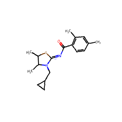 Cc1ccc(C(=O)/N=C2\SC(C)C(C)N2CC2CC2)c(C)c1